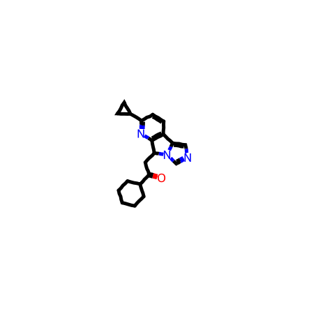 O=C(CC1c2nc(C3CC3)ccc2-c2cncn21)C1CCCCC1